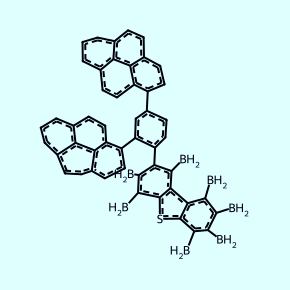 Bc1c(B)c(B)c2c(sc3c(B)c(B)c(-c4ccc(-c5ccc6ccc7cccc8ccc5c6c78)cc4-c4ccc5ccc6cccc7ccc4c5c67)c(B)c32)c1B